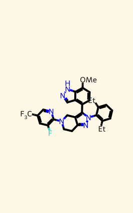 CCc1cccc(CC)c1-n1nc2c(c1-c1ccc(OC)c3[nH]ncc13)CN(c1ncc(C(F)(F)F)cc1F)CC2